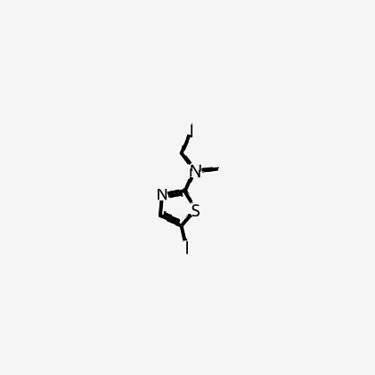 CN(CI)c1ncc(I)s1